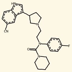 N#Cc1ccc2[nH]cc(C3CCN(CCN(C(=O)N4CCCCC4)c4ccc(F)cc4)C3)c2c1